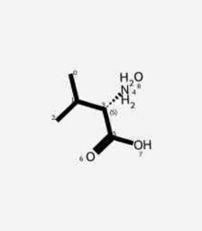 CC(C)[C@H](N)C(=O)O.O